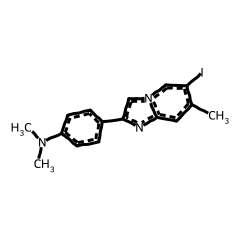 Cc1cc2nc(-c3ccc(N(C)C)cc3)cn2cc1I